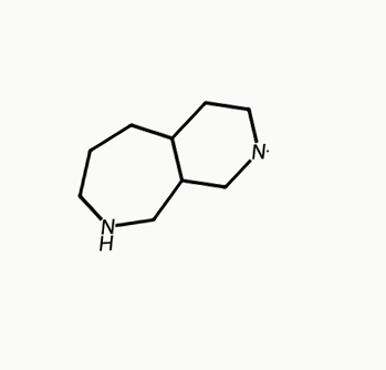 C1CNCC2C[N]CCC2C1